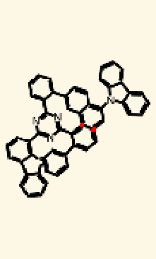 c1ccc(-c2ccccc2-c2nc(-c3ccccc3-c3ccc4c(-n5c6ccccc6c6ccccc65)cccc4c3)nc(-c3cccc4c3sc3ccccc34)n2)cc1